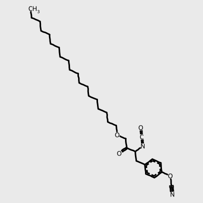 CCCCCCCCCCCCCCCCCCCOCC(=O)C(Cc1ccc(OC#N)cc1)N=C=O